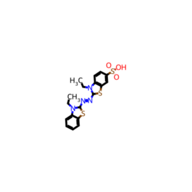 CCN1c2ccccc2SC1N=NC1Sc2cc(S(=O)(=O)O)ccc2N1CC